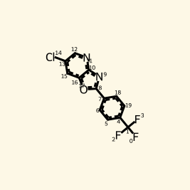 FC(F)(F)c1ccc(-c2nc3ncc(Cl)cc3o2)cc1